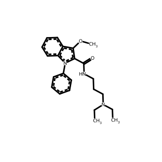 CCN(CC)CCCNC(=O)c1c(OC)c2ccccc2n1-c1ccccc1